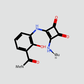 CC[C@H](C)Nc1c(Nc2cccc(C(=O)NC)c2O)c(=O)c1=O